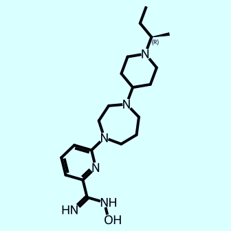 CC[C@@H](C)N1CCC(N2CCCN(c3cccc(C(=N)NO)n3)CC2)CC1